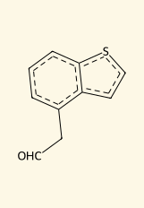 O=CCc1cccc2sccc12